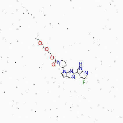 CCOCCOCCOCC(=O)N1CCC[C@H](n2ccc3cnc(-c4c[nH]c5ncc(F)cc45)nc32)C1